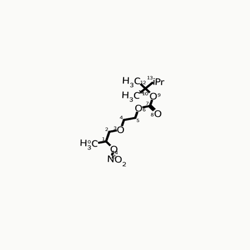 CC(COCCOC(=O)OC(C)(C)C(C)C)O[N+](=O)[O-]